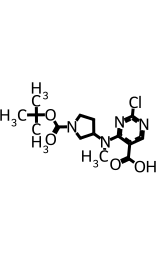 CN(c1nc(Cl)ncc1C(=O)O)C1CCN(C(=O)OC(C)(C)C)C1